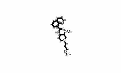 COC1CN(CCCOC(C)C)CCC1NC(=O)c1cccc2c1OCC=C2